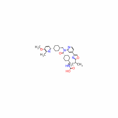 COc1ccc([C@H]2CC[C@H](CN(c3cc(-c4coc(C(C)C)n4)ccn3)C(=O)[C@H]3CC[C@H](CNC(=O)O)CC3)CC2)nc1C